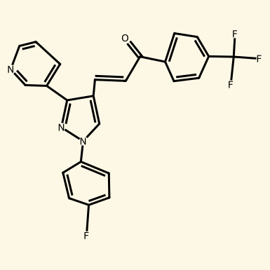 O=C(C=Cc1cn(-c2ccc(F)cc2)nc1-c1cccnc1)c1ccc(C(F)(F)F)cc1